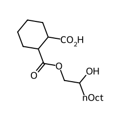 CCCCCCCCC(O)COC(=O)C1CCCCC1C(=O)O